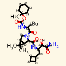 CC1(OC(=O)NC(C(=O)N2CC3C(C2C(=O)NC(CC2CCC2)C(=O)C(N)=O)C3(C)C)C(C)(C)C)CCCCC1